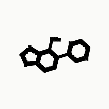 COc1c(-c2cnccn2)ccc2s[c]nc12